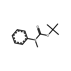 CN(C(=O)OC(C)(C)C)c1ccccc1